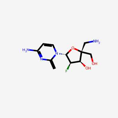 C=C1N=C(N)C=CN1[C@@H]1O[C@](CN)(CO)[C@@H](O)[C@H]1F